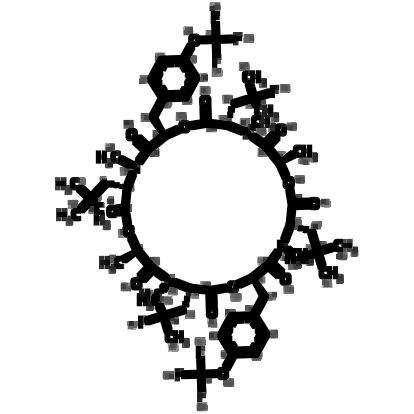 C[C@H]1OC(=O)[C@H](CC(C)(C)C)N(C)C(=O)[C@@H](Cc2ccc(OC(F)(F)F)cc2)OC(=O)[C@H](CC(C)(C)F)N(C)C(=O)[C@@H](C)OC(=O)[C@H](CC(C)(C)C)N(C)C(=O)[C@@H](Cc2ccc(OC(F)(F)F)cc2)OC(=O)[C@H](CC(C)(C)F)N(C)C1=O